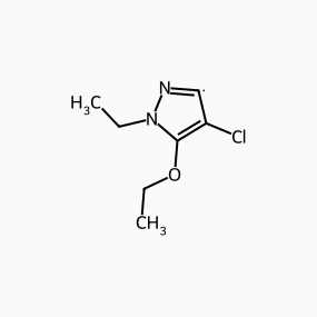 CCOc1c(Cl)[c]nn1CC